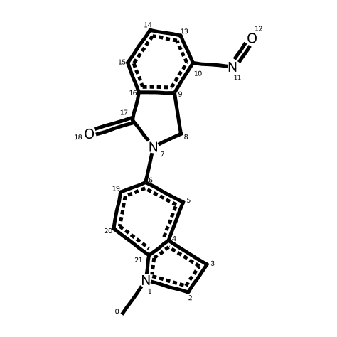 Cn1ccc2cc(N3Cc4c(N=O)cccc4C3=O)ccc21